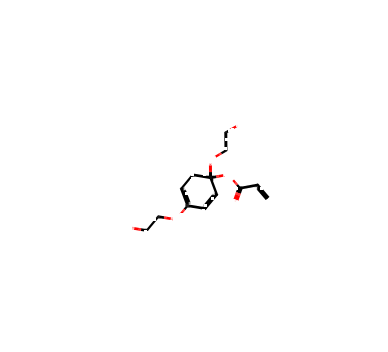 C=CC(=O)OC1(OCCO)C=CC(OCCO)=CC1